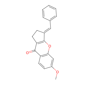 COc1ccc2c(=O)c3c(oc2c1)C(=Cc1ccccc1)CC3